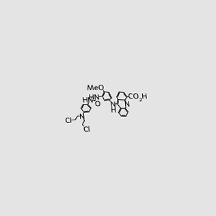 COc1ccc(Nc2c3ccccc3nc3c(C(=O)O)cccc23)cc1NC(=O)Nc1ccc(N(CCCl)CCCl)cc1